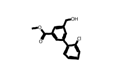 COC(=O)c1cc(CO)cc(-c2ccccc2Cl)c1